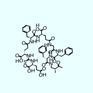 CC(=O)[C@@H](C)CNC(=O)[C@H](Cc1ccccc1)NC(=O)[C@H](Cc1ccccc1)NC(=O)CNC(=O)CC[C@@H](NC(=O)[C@H](Cc1ccccc1)NC(=O)CC[C@H](NC(=S)N[C@@H](CCC(=O)O)C(=O)O)C(=O)O)C(=O)O